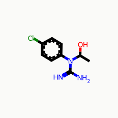 CC(O)N(C(=N)N)c1ccc(Cl)cc1